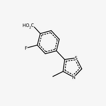 Cc1ncsc1-c1ccc(C(=O)O)c(F)c1